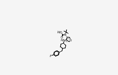 CC(C)(C)N(C(=O)O)[C@@H]1COC[C@H]1NC1CCC(Cc2ccc(F)cc2)CC1